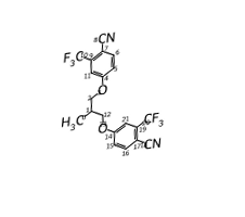 CC(COc1ccc(C#N)c(C(F)(F)F)c1)COc1ccc(C#N)c(C(F)(F)F)c1